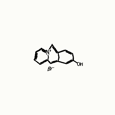 Oc1ccc2c[n+]3ccccc3cc2c1.[Br-]